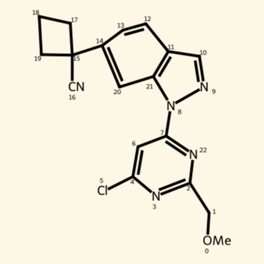 COCc1nc(Cl)cc(-n2ncc3ccc(C4(C#N)CCC4)cc32)n1